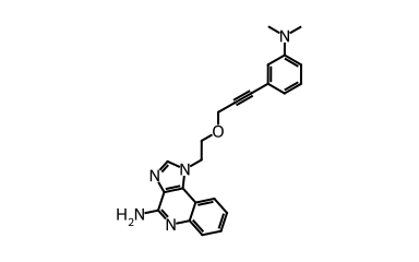 CN(C)c1cccc(C#CCOCCn2cnc3c(N)nc4ccccc4c32)c1